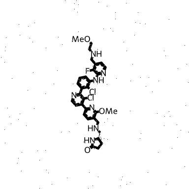 COCCNCc1ccnc(Nc2cccc(-c3nccc(-c4ccc(CNC[C@@H]5CCC(=O)N5)c(OC)n4)c3Cl)c2Cl)c1F